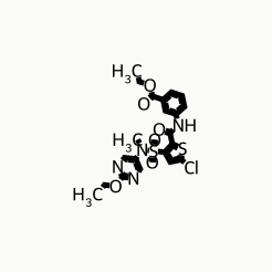 CCOC(=O)c1cccc(NC(=O)c2sc(Cl)cc2S(=O)(=O)N(C)c2cnc(OCC)nc2)c1